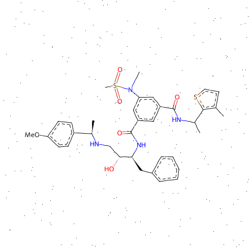 COc1ccc([C@@H](C)NC[C@@H](O)[C@H](Cc2ccccc2)NC(=O)c2cc(C(=O)NC(C)c3sccc3C)cc(N(C)S(C)(=O)=O)c2)cc1